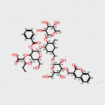 CCC[C@H](OC1C(OC(=O)c2ccccc2)[C@H](O[C@@H]2CC(CO[C@H]3OC(CO)[C@@H](O)C(OCc4cc5ccccc5oc4=O)C3O)CC(C)C2O[C@@H]2OC(C)[C@H](O)C(O)C2O)OC(CO)[C@@H]1O)C(=O)O